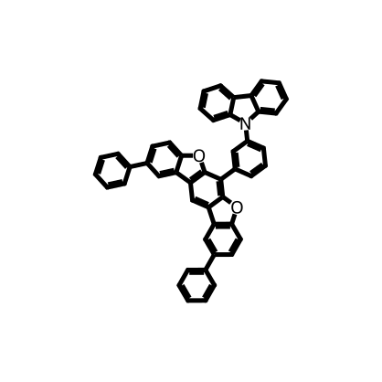 c1ccc(-c2ccc3oc4c(-c5cccc(-n6c7ccccc7c7ccccc76)c5)c5oc6ccc(-c7ccccc7)cc6c5cc4c3c2)cc1